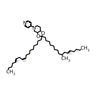 CCCC/C=C/C/C=C\CCCCCCCCC1(CCCCCCCCC(C)C/C=C/CCCC)OC2CCN(c3ccncc3)CC2O1